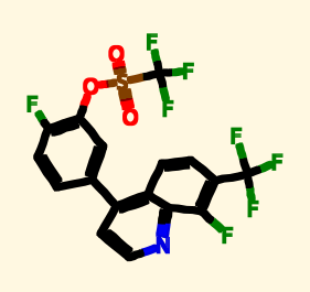 O=S(=O)(Oc1cc(-c2ccnc3c(F)c(C(F)(F)F)ccc23)ccc1F)C(F)(F)F